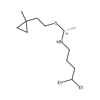 CCC(CC)CCCN[C@@H](C)SCCC1(C)CC1